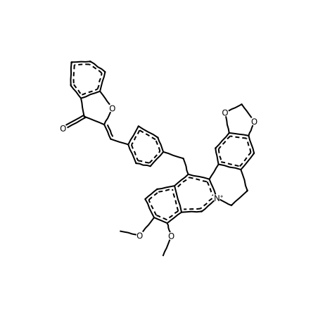 COc1ccc2c(Cc3ccc(/C=C4\Oc5ccccc5C4=O)cc3)c3[n+](cc2c1OC)CCc1cc2c(cc1-3)OCO2